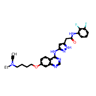 C#CN(CC)CCCCOc1ccc2c(Nc3cc(CC(=O)Nc4cccc(F)c4F)[nH]n3)ncnc2c1